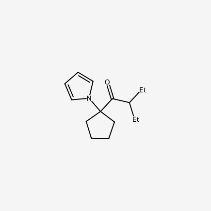 CCC(CC)C(=O)C1(n2cccc2)CCCC1